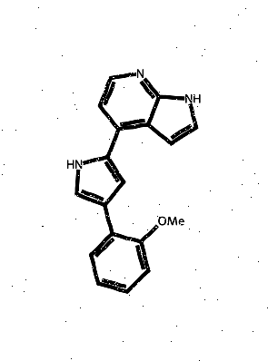 COc1ccccc1-c1c[nH]c(-c2ccnc3[nH]ccc23)c1